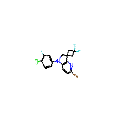 Fc1cc(N2CC3(CC(F)(F)C3)c3nc(Br)ccc32)ccc1Cl